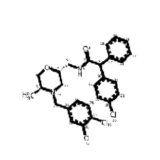 C[C@H]1CO[C@H](CNC(=O)C(c2ccccc2)c2ccc(Cl)cc2)CN1Cc1ccc(Cl)c(Cl)c1